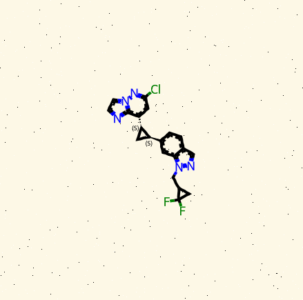 FC1(F)CC1Cn1ncc2ccc([C@H]3C[C@@H]3c3cc(Cl)nn4ccnc34)cc21